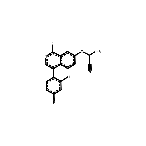 CC(C#N)Oc1ccc2c(-c3ccc(F)cc3Cl)cnc(Cl)c2c1